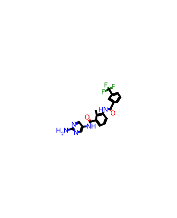 Cc1c(NC(=O)c2cccc(C(F)(F)F)c2)cccc1C(=O)Nc1cnc(N)nc1